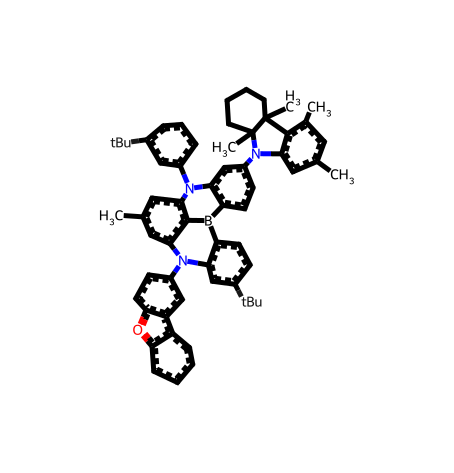 Cc1cc2c3c(c1)N(c1ccc4oc5ccccc5c4c1)c1cc(C(C)(C)C)ccc1B3c1ccc(N3c4cc(C)cc(C)c4C4(C)CCCCC34C)cc1N2c1cccc(C(C)(C)C)c1